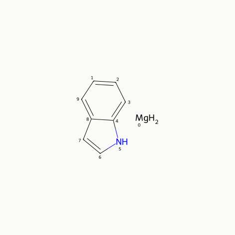 [MgH2].c1ccc2[nH]ccc2c1